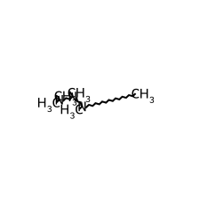 CCCCCCCCCCCCCCCCN(C)CCCN(C)CCCN(C)C